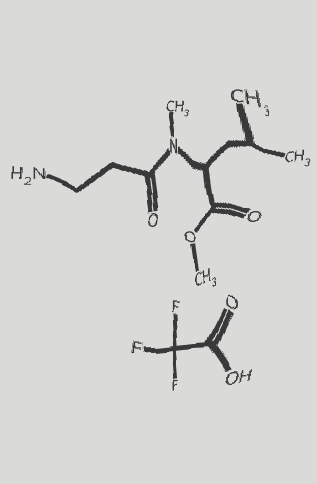 COC(=O)C(C(C)C)N(C)C(=O)CCN.O=C(O)C(F)(F)F